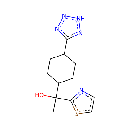 CC(O)(c1nccs1)C1CCC(c2nn[nH]n2)CC1